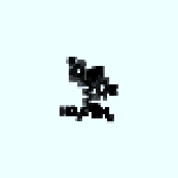 NOC(CC/C=C(\c1ccc(F)cc1)C(Cc1ccc(F)cc1)n1ccnc1)C(=O)O